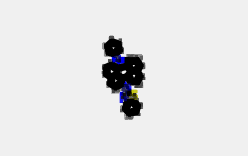 c1ccc(-n2c3ccc4ccc5c6c4c3c3c4c(ccc32)ccc(c46)n5-c2nc3ccccc3s2)cc1